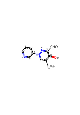 COc1cn(-c2cccnc2)nc(C=O)c1=O